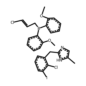 COc1ccccc1B(CC=CCl)c1ccccc1OC.Cc1cnc(Cc2cccc(I)c2Cl)[nH]1